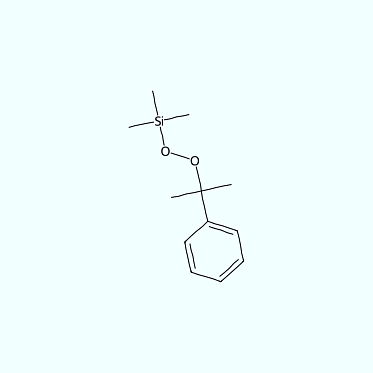 CC(C)(OO[Si](C)(C)C)c1ccccc1